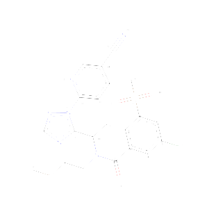 CSCCN(C(=O)c1cc(Cl)cc(S(C)(=O)=O)c1)C(C)c1ncnn1-c1ccc(C#N)cn1